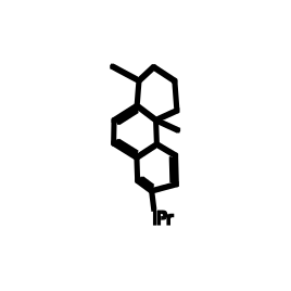 CC(C)C1=CC2=CC=C3C(C)CCCC3(C)C2C=C1